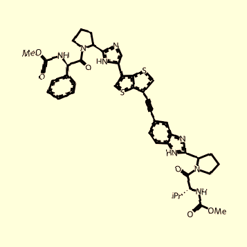 COC(=O)N[C@@H](C(=O)N1CCCC1c1ncc(-c2csc3c(C#Cc4ccc5[nH]c(C6CCCN6C(=O)[C@H](NC(=O)OC)C(C)C)nc5c4)csc23)[nH]1)c1ccccc1